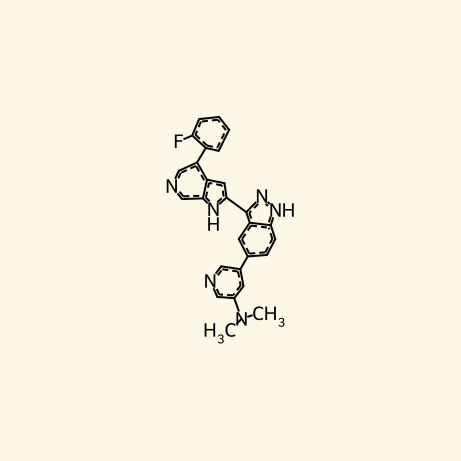 CN(C)c1cncc(-c2ccc3[nH]nc(-c4cc5c(-c6ccccc6F)cncc5[nH]4)c3c2)c1